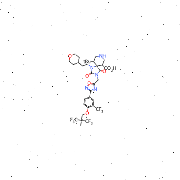 CC(C)(C)C1CNCC(C(=O)O)C12C(=O)N(Cc1nc(-c3ccc(OCC(C)(C(F)(F)F)C(F)(F)F)c(C(F)(F)F)c3)no1)C(=O)N2CCC1CCOCC1